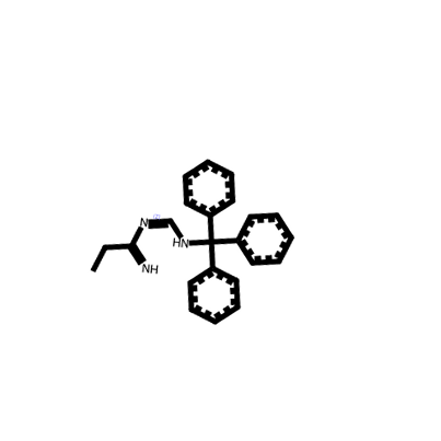 CCC(=N)/N=C\NC(c1ccccc1)(c1ccccc1)c1ccccc1